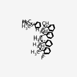 C[S+](C)c1ccccc1.C[S+](C)c1ccccc1.C[S+](C)c1ccccc1.C[S+](C)c1ccccc1.C[S+](C)c1ccccc1.[F-].[F-].[F-].[F-].[F-]